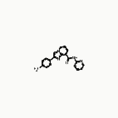 O=C(Nc1ccccn1)c1cccn2cc(-c3ccc(C(F)(F)F)cc3)nc12